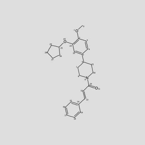 COc1ccc(C2CCN(C(=O)C=Cc3ccccc3)CC2)cc1OC1CCCC1